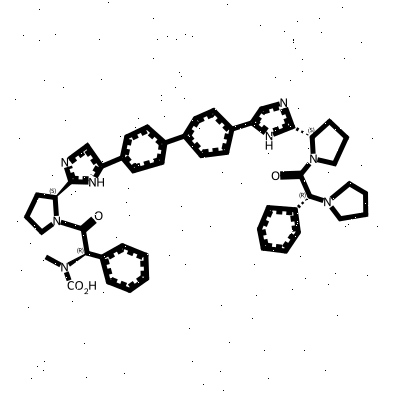 CN(C(=O)O)[C@@H](C(=O)N1CCC[C@H]1c1ncc(-c2ccc(-c3ccc(-c4cnc([C@@H]5CCCN5C(=O)[C@@H](c5ccccc5)N5CCCC5)[nH]4)cc3)cc2)[nH]1)c1ccccc1